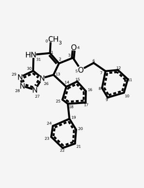 CC1=C(C(=O)OCc2ccccc2)C(c2cccc(-c3ccccc3)c2)n2nnnc2N1